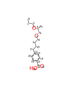 CCCO[C@@H](C)COCCCCc1ccc(C(=O)O)cc1